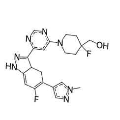 Cn1cc(C2=C(F)C=C3NN=C(c4cc(N5CCC(F)(CO)CC5)ncn4)C3C2)cn1